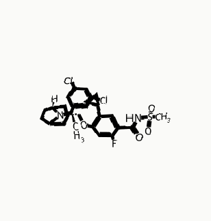 C[C@H](c1cc(Cl)cc(Cl)c1)N1C2CC[C@H]1C[C@H](COc1cc(F)c(C(=O)NS(C)(=O)=O)cc1C1CC1)C2